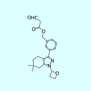 CC1(C)CCc2c(-c3cccc(COC(=O)CC=O)c3)nn(C3CCO3)c2C1